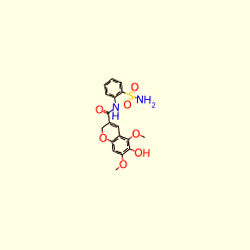 COc1cc2c(c(OC)c1O)C=C(C(=O)Nc1ccccc1S(N)(=O)=O)CO2